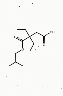 CCC(CC)(CC(=O)O)C(=O)OCC(C)C